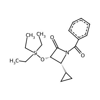 CC[Si](CC)(CC)O[C@@H]1C(=O)N(C(=O)c2ccccc2)[C@@H]1C1CC1